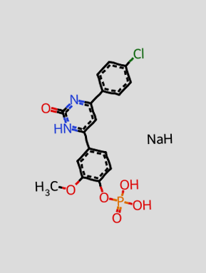 COc1cc(-c2cc(-c3ccc(Cl)cc3)nc(=O)[nH]2)ccc1OP(=O)(O)O.[NaH]